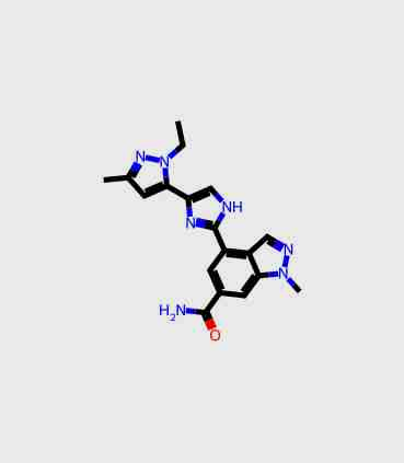 CCn1nc(C)cc1-c1c[nH]c(-c2cc(C(N)=O)cc3c2cnn3C)n1